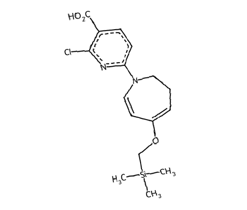 C[Si](C)(C)COC1=CCCN(c2ccc(C(=O)O)c(Cl)n2)C=C1